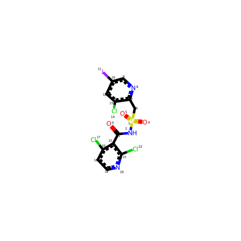 O=C(NS(=O)(=O)Cc1ncc(I)cc1Cl)c1c(Cl)ccnc1Cl